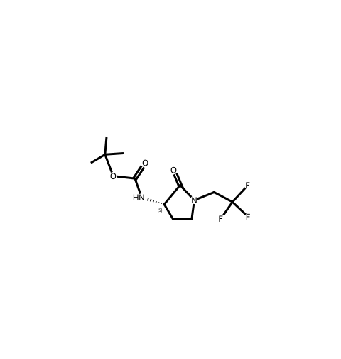 CC(C)(C)OC(=O)N[C@H]1CCN(CC(F)(F)F)C1=O